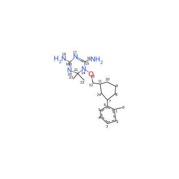 Cc1ccccc1C1CCCC(CON2C(N)=NC(N)=NC2(C)C)C1